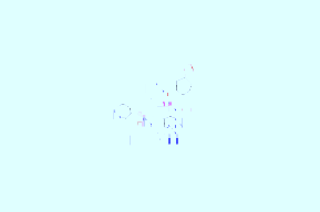 COc1ccc(C(=O)Nc2n[nH]c3c2CN(S(=O)(=O)c2cccnc2)CC3(C)C)c(C(N)=O)c1